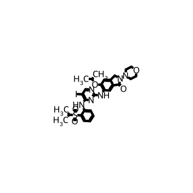 CC(C)Oc1cc2c(cc1Nc1ncc(I)c(Nc3ccccc3S(=O)(=O)C(C)C)n1)C(=O)N(N1CCOCC1)C2